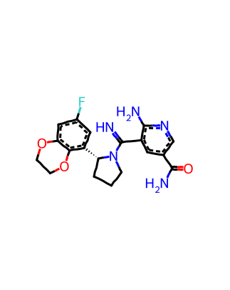 N=C(c1cc(C(N)=O)cnc1N)N1CCC[C@@H]1c1cc(F)cc2c1OCCO2